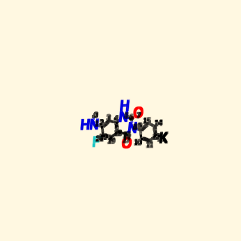 CNc1cc2[nH]c(=O)n(-c3cc[c]([K])cc3)c(=O)c2cc1F